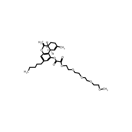 C=C1Oc2cc(CCCCC)cc(OC(=O)C(=O)OCCOCCOCCOCCOC)c2[C@@H]2C=C(C)CC[C@@H]12